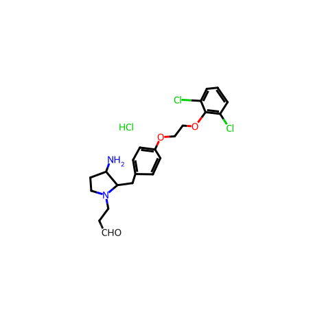 Cl.NC1CCN(CCC=O)C1Cc1ccc(OCCOc2c(Cl)cccc2Cl)cc1